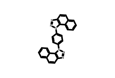 c1ccc2c(c1)ccc1nnn(-c3ccc(-n4nnc5ccc6ccccc6c54)cc3)c12